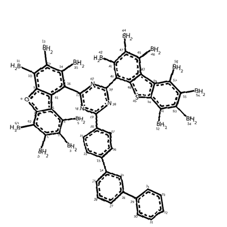 Bc1c(B)c(B)c2c(oc3c(B)c(B)c(B)c(-c4nc(-c5ccc(-c6cccc(-c7ccccc7)c6)cc5)nc(-c5c(B)c(B)c(B)c6c5sc5c(B)c(B)c(B)c(B)c56)n4)c32)c1B